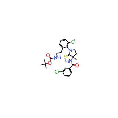 CC(C)(C)OC(=O)NCCc1cccc(Cl)c1N1CCC(C)(NC(=O)c2cccc(Cl)c2)C1=S